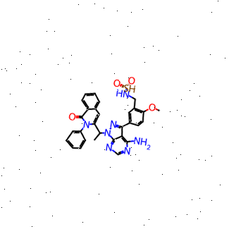 COc1ccc(-c2nn(C(C)c3cc4ccccc4c(=O)n3-c3ccccc3)c3ncnc(N)c23)cc1CN[SH](=O)=O